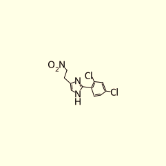 O=[N+]([O-])CCc1c[nH]c(-c2ccc(Cl)cc2Cl)n1